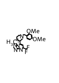 COc1ccc(CN2CC[C@@H](C)[C@H](c3cc(C(F)F)nc4ncnn34)C2)c(OC)c1